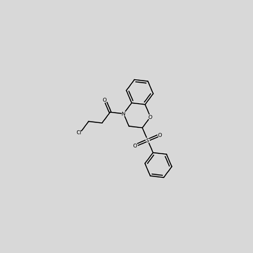 O=C(CCCl)N1CC(S(=O)(=O)c2ccccc2)Oc2ccccc21